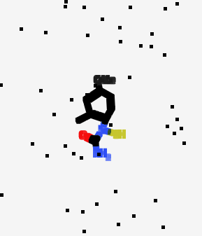 COc1ccc(N(S)C(N)=O)c(C)c1